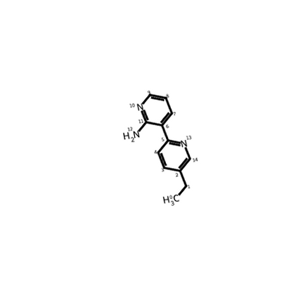 CCc1ccc(-c2cccnc2N)nc1